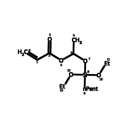 C=CC(=O)OC(C)O[Si](CCCCC)(OCC)OCC